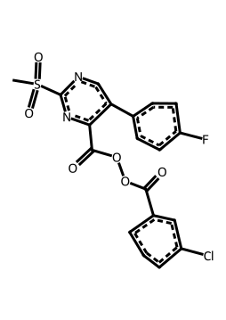 CS(=O)(=O)c1ncc(-c2ccc(F)cc2)c(C(=O)OOC(=O)c2cccc(Cl)c2)n1